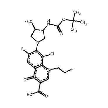 CC1CN(c2c(F)cc3c(=O)c(C(=O)O)cn(CCF)c3c2Cl)CC1NC(=O)OC(C)(C)C